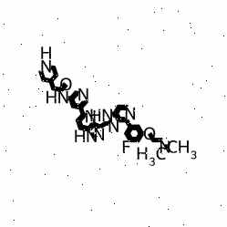 CN(C)CCOc1cc(F)cc(-c2nccc3[nH]c(-c4n[nH]c5ccc(-c6cncc(NC(=O)CC7CCNCC7)c6)nc45)nc23)c1